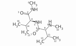 CNC(=O)[C@@H](NC(=O)C(NC)C(C)C)C(C)C